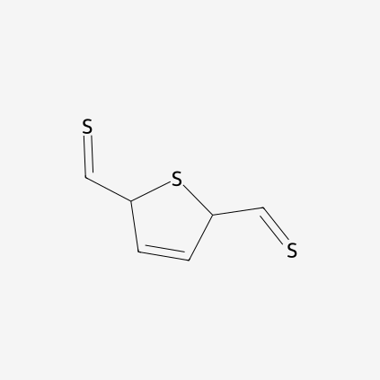 S=CC1C=CC(C=S)S1